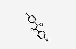 O=C(c1ccc(F)cc1)C(Cl)c1ccc(F)cc1